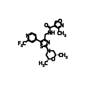 Cc1nocc1C(=O)NCc1nc(N2C[C@@H](C)O[C@@H](C)C2)sc1-c1ccnc(C(F)(F)F)c1